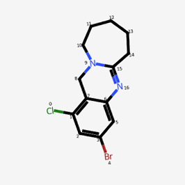 Clc1cc(Br)cc2c1CN1CCCCCC1=N2